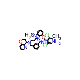 C=C/C(Cl)=C(C(=O)NCc1cccc(CN(CCc2nc3ccccc3n2C)C2CCOc3cccnc32)c1)\C(Cl)=C/N